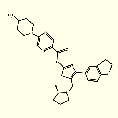 CC[C@@H]1CCCN1Cc1sc(NC(=O)c2cnc(N3CCC(C(=O)O)CC3)cn2)nc1-c1ccc2c(c1)CCO2